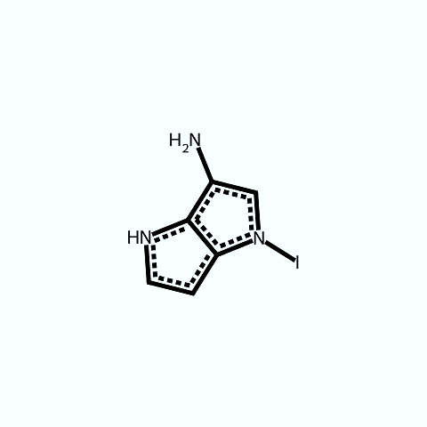 Nc1cn(I)c2cc[nH]c12